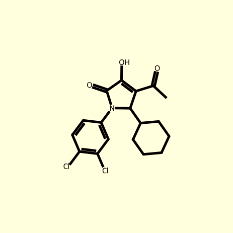 CC(=O)C1=C(O)C(=O)N(c2ccc(Cl)c(Cl)c2)C1C1CCCCC1